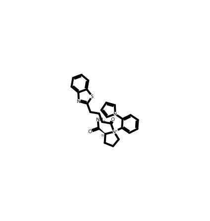 NC(=O)[C@@H]1CCC[N+]1(C(=O)CCCc1nc2ccccc2s1)c1ccccc1-n1cccc1